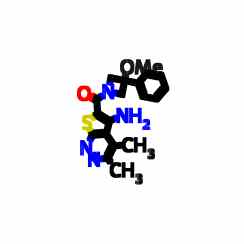 COC1(c2ccccc2)CN(C(=O)c2sc3nnc(C)c(C)c3c2N)C1